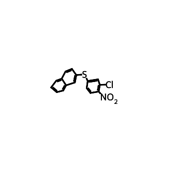 O=[N+]([O-])c1ccc(Sc2ccc3ccccc3c2)cc1Cl